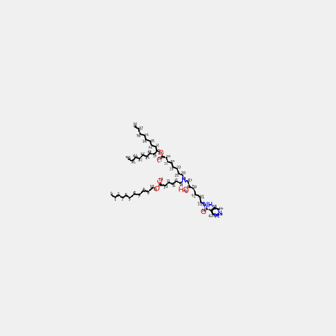 CCCCCCCCCCCOC(=O)CCCCCN(CCCCCCCC(=O)OC(CCCCCCCC)CCCCCCCC)CC(O)CCCCNC(=O)c1ccnnc1